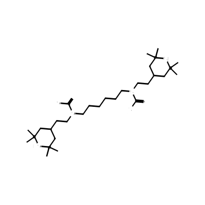 CC1(C)CC(CCN(CCCCCCN(CCC2CC(C)(C)NC(C)(C)C2)C(N)=O)C(N)=O)CC(C)(C)N1